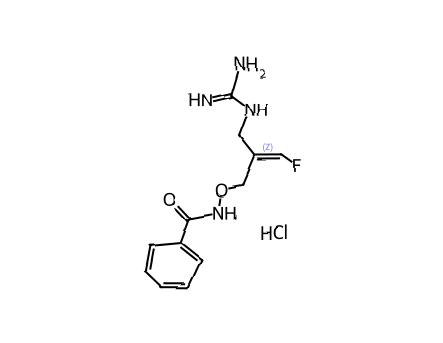 Cl.N=C(N)NC/C(=C/F)CONC(=O)c1ccccc1